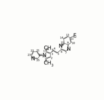 Cc1cc(C=Cc2cnc3cc(F)ccc3n2)c(C)n1-c1cccnc1